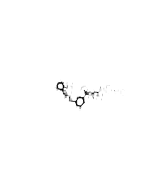 CCCCCCCCCCCCNC(=O)c1cccc(CNCc2cccs2)c1